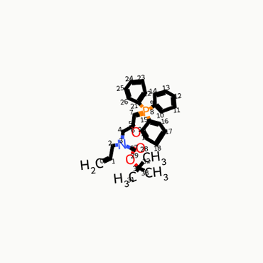 C=CCN(CC(=O)C=P(c1ccccc1)(c1ccccc1)c1ccccc1)C(=O)OC(C)(C)C